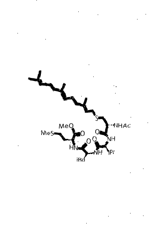 CC[C@H](C)[C@H](NC(=O)[C@@H](NC(=O)[C@H](CSC/C=C(\C)CC/C=C(\C)CCC=C(C)C)NC(C)=O)C(C)C)C(=O)N[C@@H](CCSC)C(=O)OC